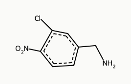 NCc1ccc([N+](=O)[O-])c(Cl)c1